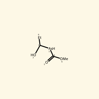 CCC(O)[AsH]C(=O)OC